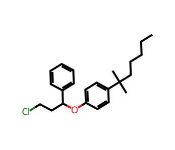 CCCCCC(C)(C)c1ccc(OC(CCCl)c2ccccc2)cc1